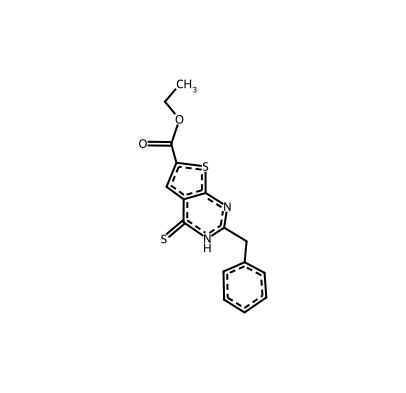 CCOC(=O)c1cc2c(=S)[nH]c(Cc3ccccc3)nc2s1